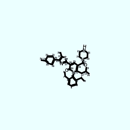 CCc1cccc(CC)c1-n1c(CC(C)C)c(C(=O)N2CCNCC2)cc(-c2nc(-c3ccc(C)cc3)c(C)s2)c1=O